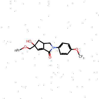 CCCOCC1(O)C=C2C(=O)N(c3ccc(OC(F)(F)F)cc3)CC2C1